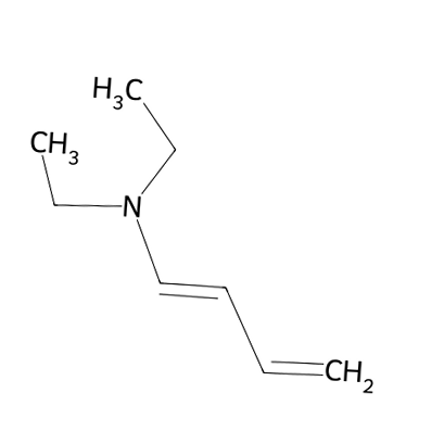 C=CC=CN(CC)CC